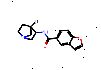 O=C(N[C@H]1CN2CC[C@H]1C2)c1ccc2occc2c1